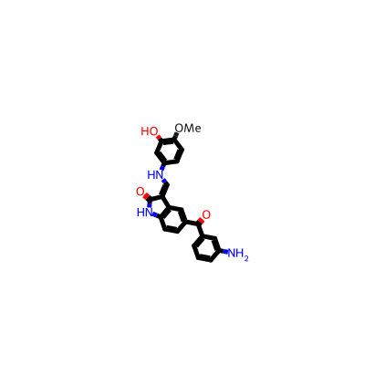 COc1ccc(NC=C2C(=O)Nc3ccc(C(=O)c4cccc(N)c4)cc32)cc1O